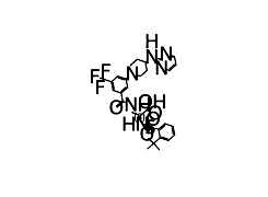 CC(C)(C)c1ccccc1S(=O)(=O)N[C@@H](CNC(=O)c1cc(N2CCC(Nc3ncccn3)CC2)cc(C(F)(F)F)c1)C(=O)O